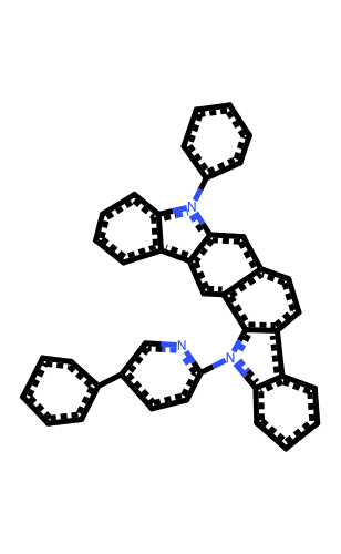 c1ccc(-c2ccc(-n3c4ccccc4c4ccc5cc6c(cc5c43)c3ccccc3n6-c3ccccc3)nc2)cc1